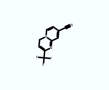 N#CC1=CC2=NC(C(F)(F)F)=CCN2C=C1